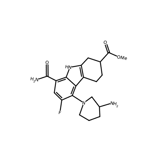 COC(=O)C1CCc2c([nH]c3c(C(N)=O)cc(F)c(N4CCCC(N)C4)c23)C1